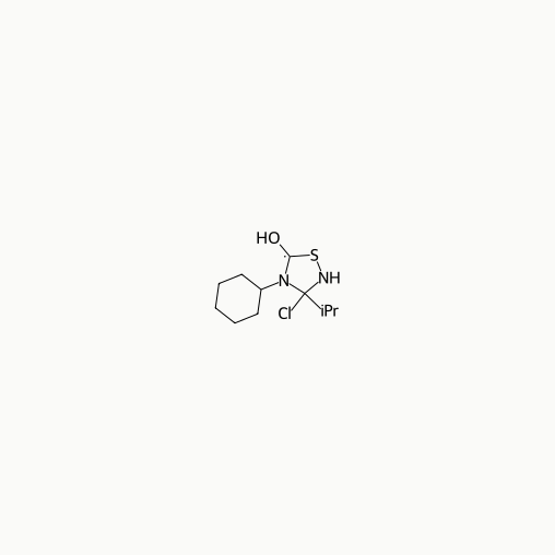 CC(C)C1(Cl)NS[C](O)N1C1CCCCC1